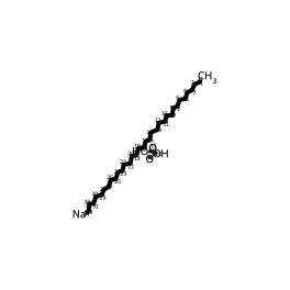 CCCCCCCCCCCCCCCCCCCCCCCCCCCCCCCCC[CH2][Na].O=S(=O)(O)O